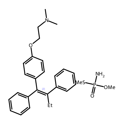 CC/C(=C(\c1ccccc1)c1ccc(OCCN(C)C)cc1)c1ccccc1.COP(N)(=O)SC